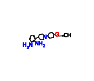 C#CCO[C@H]1CC[C@@H](N2CCC(c3cccc(N)c3N)CC2)CC1